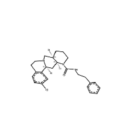 O=C(NCCc1ccccc1)N1CCC[C@@H]2CN3CCc4ccc(Cl)cc4[C@@H]3C[C@@H]21